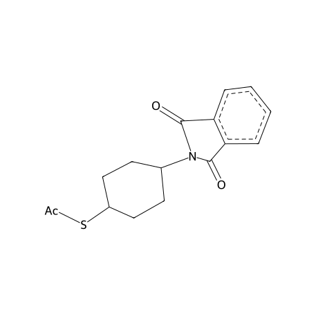 CC(=O)SC1CCC(N2C(=O)c3ccccc3C2=O)CC1